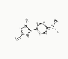 CCn1cc(C(F)(F)F)nc1-c1ccc([C@@H](C)O)cc1